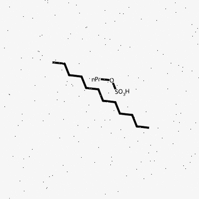 CCCCCCCCCCCC.CCCOS(=O)(=O)O